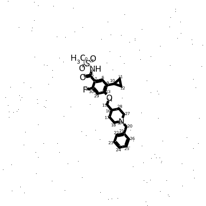 CS(=O)(=O)NC(=O)c1cc(C2CC2)c(OCC2CCN(Cc3ccccc3)CC2)cc1F